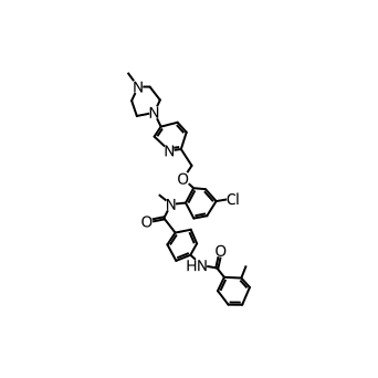 Cc1ccccc1C(=O)Nc1ccc(C(=O)N(C)c2ccc(Cl)cc2OCc2ccc(N3CCN(C)CC3)cn2)cc1